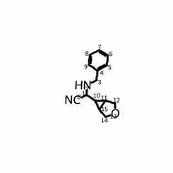 N#CC(NCc1ccccc1)C1C2COCC21